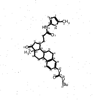 Cc1cnc(NC(=O)CC[C@@H]2CC(=O)[C@@]3(C)CCC4c5ccc(OC(=O)OC(C)(C)C)cc5CCC4C23)s1